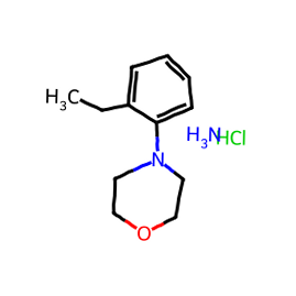 CCc1ccccc1N1CCOCC1.Cl.N